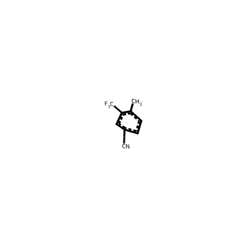 [CH2]c1ccc(C#N)cc1C(F)(F)F